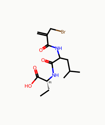 C=C(CBr)C(=O)NC(CC(C)C)C(=O)N[C@H](CC)C(=O)O